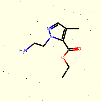 CCOC(=O)c1c(C)cnn1CCN